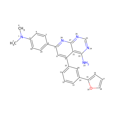 CN(C)c1ccc(-c2cc(-c3cccc(-c4ccco4)c3)c3c(N)ncnc3n2)cc1